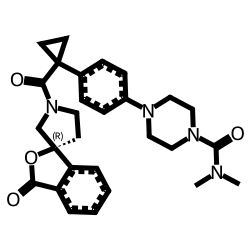 CN(C)C(=O)N1CCN(c2ccc(C3(C(=O)N4CC[C@@]5(C4)OC(=O)c4ccccc45)CC3)cc2)CC1